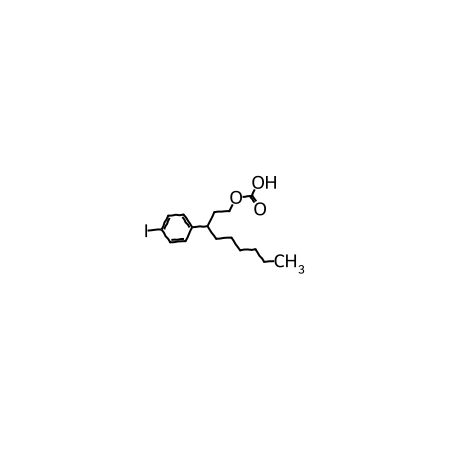 CCCCCCC(CCOC(=O)O)c1ccc(I)cc1